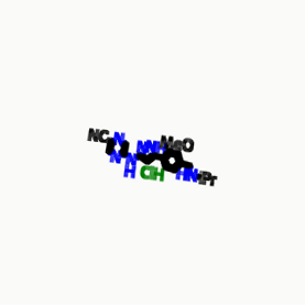 COc1cc(CNC(C)C)ccc1-c1cc(Nc2cnc(C#N)cn2)n[nH]1.Cl